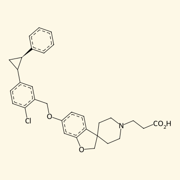 O=C(O)CCN1CCC2(CC1)COc1cc(OCc3cc(C4C[C@H]4c4ccccc4)ccc3Cl)ccc12